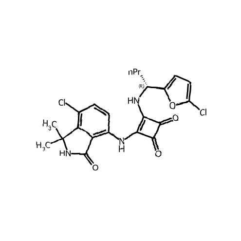 CCC[C@@H](Nc1c(Nc2ccc(Cl)c3c2C(=O)NC3(C)C)c(=O)c1=O)c1ccc(Cl)o1